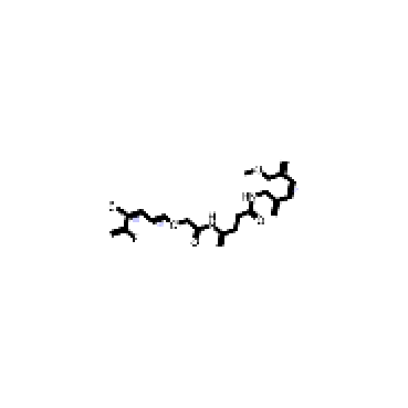 C=C(/C=C\C(=C)COC)CNC(=O)CCC(=C)NC(=O)CO/C=C/C=C(/Cl)C(=C)F